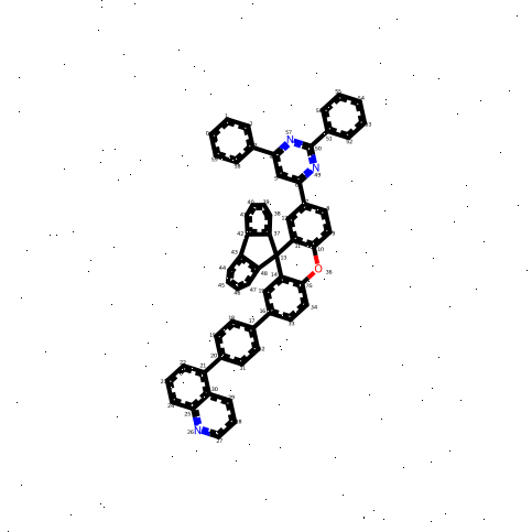 c1ccc(-c2cc(-c3ccc4c(c3)C3(c5cc(-c6ccc(-c7cccc8ncccc78)cc6)ccc5O4)c4ccccc4-c4ccccc43)nc(-c3ccccc3)n2)cc1